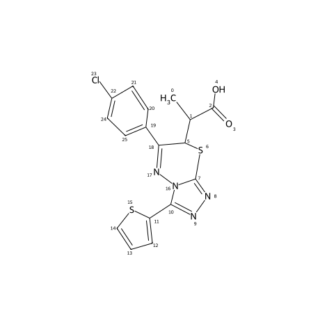 CC(C(=O)O)C1Sc2nnc(-c3cccs3)n2N=C1c1ccc(Cl)cc1